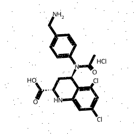 CC(=O)N(c1ccc(CN)cc1)[C@@H]1C[C@@H](C(=O)O)Nc2cc(Cl)cc(Cl)c21.Cl